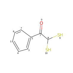 O=C(c1ccccc1)C(S)S